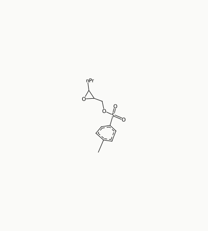 CCCC1OC1COS(=O)(=O)c1ccc(C)cc1